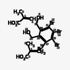 C=C(C)C(=O)O.C=C(C)C(=O)O.OCc1c(Br)c(Br)c(Br)c(Br)c1CO